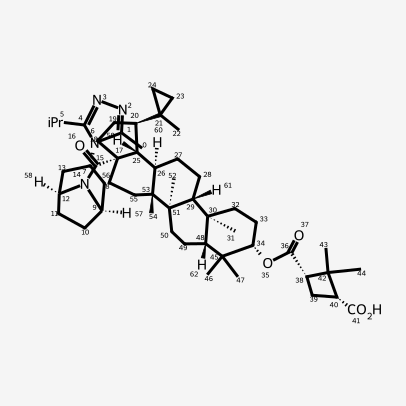 Cc1nnc(C(C)C)n1[C@@H]1C[C@H]2CC[C@@H](C1)N2C(=O)[C@]12CC[C@@H](C3(C)CC3)[C@@H]1[C@H]1CC[C@@H]3[C@@]4(C)CC[C@H](OC(=O)[C@H]5C[C@@H](C(=O)O)C5(C)C)C(C)(C)[C@@H]4CC[C@@]3(C)[C@]1(C)CC2